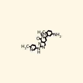 Cc1ccc(Nc2ncc3cc(-c4cc(N)ccc4C)n(C)c(=O)c3n2)cn1